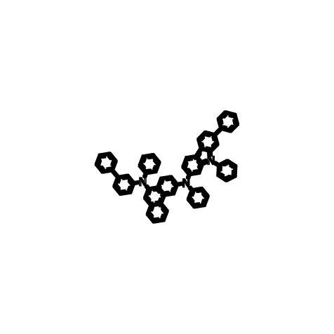 c1ccc(-c2cccc(N(c3ccccc3)c3cc4ccccc4c4cc(N(c5ccccc5)c5ccc6c7ccc(-c8ccccc8)cc7n(-c7ccccc7)c6c5)ccc34)c2)cc1